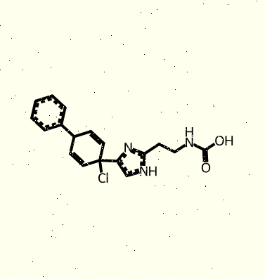 O=C(O)NCCc1nc(C2(Cl)C=CC(c3ccccc3)C=C2)c[nH]1